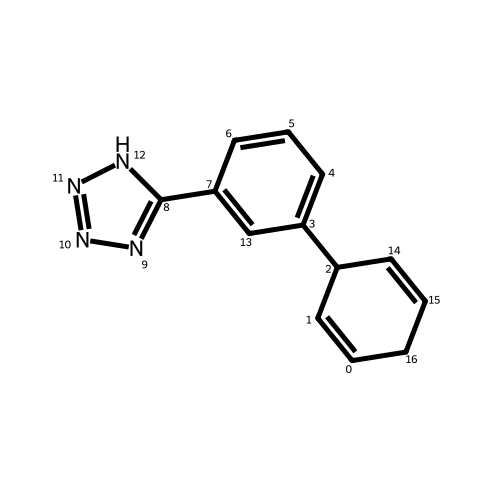 C1=CC(c2cccc(-c3nnn[nH]3)c2)C=CC1